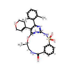 Cc1cccc(C)c1-c1nc2nc(c1C1=CCOCC1)O[C@H](C)CNC(=O)c1cccc(c1)S(=O)(=O)N2